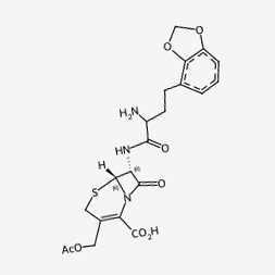 CC(=O)OCC1=C(C(=O)O)N2C(=O)[C@@H](NC(=O)C(N)CCc3cccc4c3OCO4)[C@H]2SC1